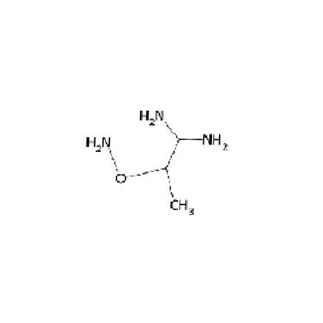 CC(ON)C(N)N